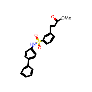 COC(=O)C=Cc1cccc(S(=O)(=O)Nc2ccc(-c3ccccc3)cc2)c1